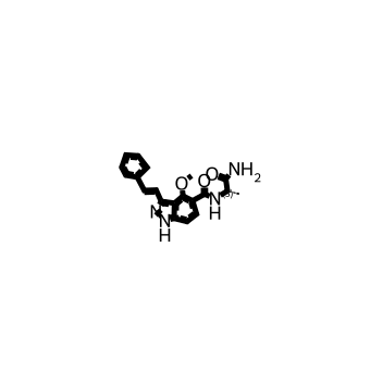 COc1c(C(=O)N[C@@H](C)C(N)=O)ccc2[nH]nc(C=Cc3ccccc3)c12